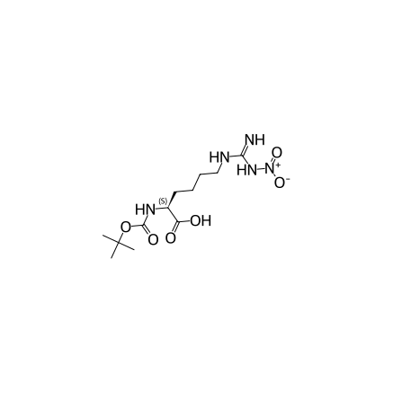 CC(C)(C)OC(=O)N[C@@H](CCCCNC(=N)N[N+](=O)[O-])C(=O)O